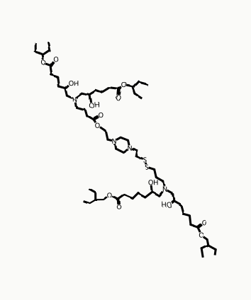 CCC(CC)COC(=O)CCCCC(O)CN(CCCSSCCN1CCN(CCOC(=O)CCCN(CC(O)CCCC(=O)OC(CC)CC)CC(O)CCCC(=O)OC(CC)CC)CC1)CC(O)CCCCC(=O)OCC(CC)CC